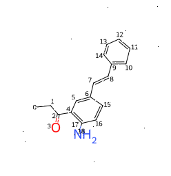 CCC(=O)c1cc(C=Cc2ccccc2)ccc1N